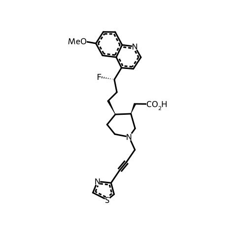 COc1ccc2nccc([C@@H](F)CC[C@@H]3CCN(CC#Cc4cscn4)C[C@@H]3CC(=O)O)c2c1